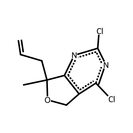 C=CCC1(C)OCc2c(Cl)nc(Cl)nc21